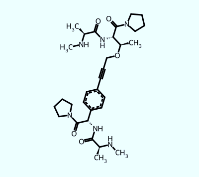 CN[C@@H](C)C(=O)N[C@H](C(=O)N1CCCC1)c1ccc(C#CCO[C@H](C)[C@H](NC(=O)[C@H](C)NC)C(=O)N2CCCC2)cc1